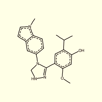 COc1cc(O)c(C(C)C)cc1C1=NNCN1c1ccc2c(ccn2C)c1